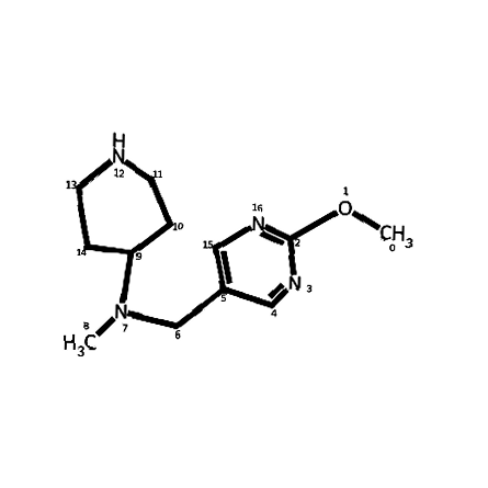 COc1ncc(CN(C)C2CCNCC2)cn1